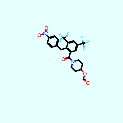 O=COC1CCN(C(=O)c2cc(C(F)(F)F)cc(C(F)(F)F)c2Cc2ccc([N+](=O)[O-])cc2)CC1